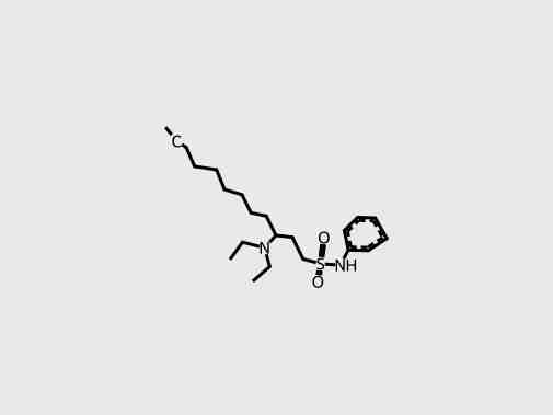 CCCCCCCCCC(CCS(=O)(=O)Nc1ccccc1)N(CC)CC